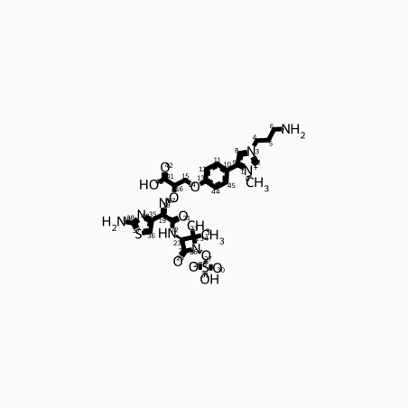 C[n+]1cn(CCCN)cc1-c1ccc(OCC(O/N=C(\C(=O)N[C@@H]2C(=O)N(OS(=O)(=O)O)C2(C)C)c2csc(N)n2)C(=O)O)cc1